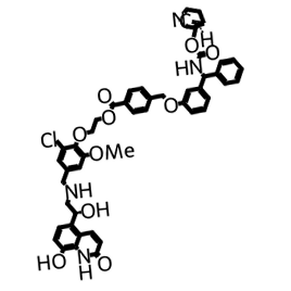 COc1cc(CNC[C@@H](O)c2ccc(O)c3[nH]c(=O)ccc23)cc(Cl)c1OCCOC(=O)c1ccc(COc2cccc(C(NC(=O)O[C@H]3CN4CCC3CC4)c3ccccc3)c2)cc1